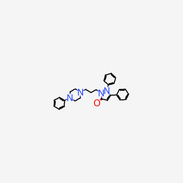 O=c1cc(-c2ccccc2)n(-c2ccccc2)n1CCCN1CCN(c2ccccc2)CC1